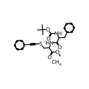 C.COC(=O)C(CSC#Cc1ccccc1)NC(=O)C(Cc1ccccc1)NC(=O)OC(C)(C)C